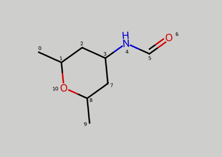 CC1CC(NC=O)CC(C)O1